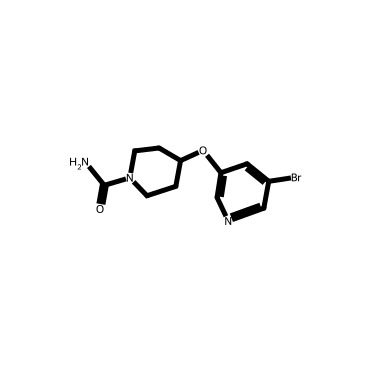 NC(=O)N1CCC(Oc2cncc(Br)c2)CC1